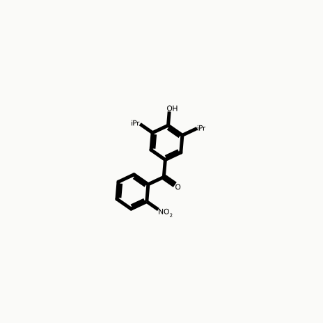 CC(C)c1cc(C(=O)c2ccccc2[N+](=O)[O-])cc(C(C)C)c1O